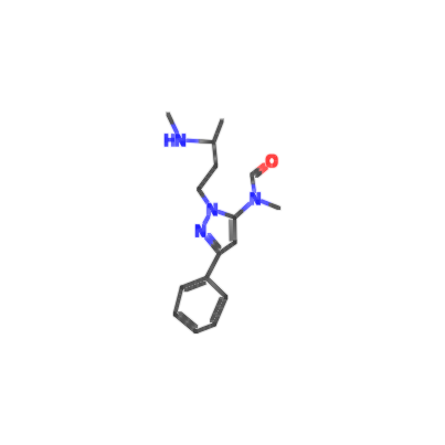 CNC(C)CCn1nc(-c2ccccc2)cc1N(C)C=O